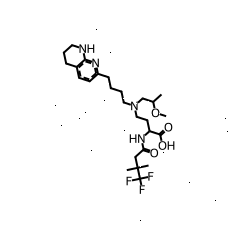 COC(C)CN(CCCCc1ccc2c(n1)NCCC2)CCC(NC(=O)CC(C)(C)C(F)(F)F)C(=O)O